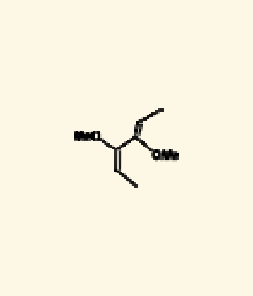 CC=C(OC)C(=CC)OC